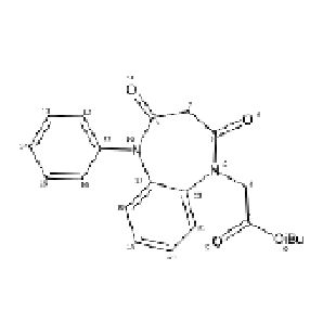 CC(C)COC(=O)CN1C(=O)CC(=O)N(c2ccccc2)c2ccccc21